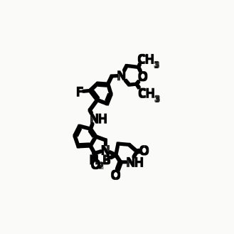 BC1(N2Cc3c(NCc4ccc(CN5CC(C)OC(C)C5)cc4F)cccc3C2=O)CCC(=O)NC1=O